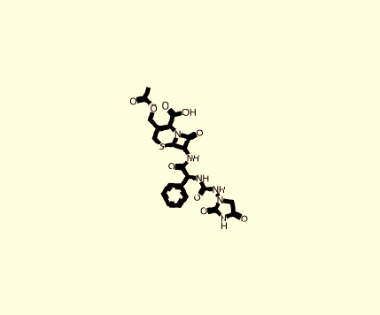 CC(=O)OCC1=C(C(=O)O)N2C(=O)C(NC(=O)C(NC(=O)NN3CC(=O)NC3=O)c3ccccc3)C2SC1